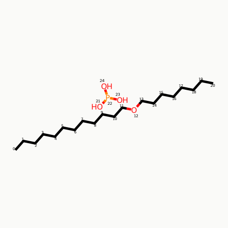 CCCCCCCCCCCCOCCCCCCCC.OP(O)O